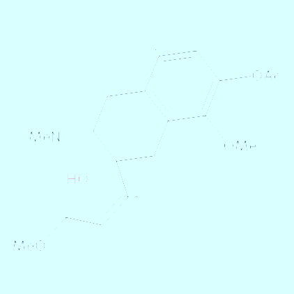 CN[C@@H]1Cc2ccc(OC(C)=O)c(OC)c2C[C@@]1(O)/C=C\COC